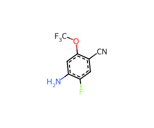 N#Cc1cc(F)c(N)cc1OC(F)(F)F